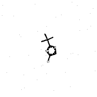 CC(C)(C)c1nc(Cl)cs1